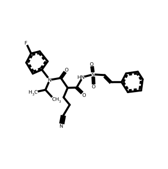 CC(C)N(C(=O)C(CCC#N)C(=O)NS(=O)(=O)/C=C/c1ccccc1)c1ccc(F)cc1